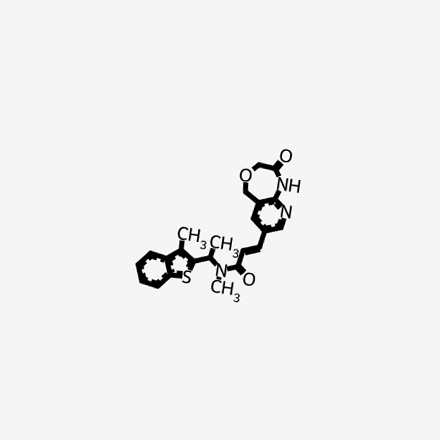 Cc1c(C(C)N(C)C(=O)C=Cc2cnc3c(c2)COCC(=O)N3)sc2ccccc12